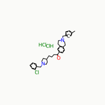 Cc1ccc(CN2CCc3ccc(C(=O)CCCC4CCN(Cc5ccccc5Cl)CC4)cc3CC2)cc1.Cl.Cl